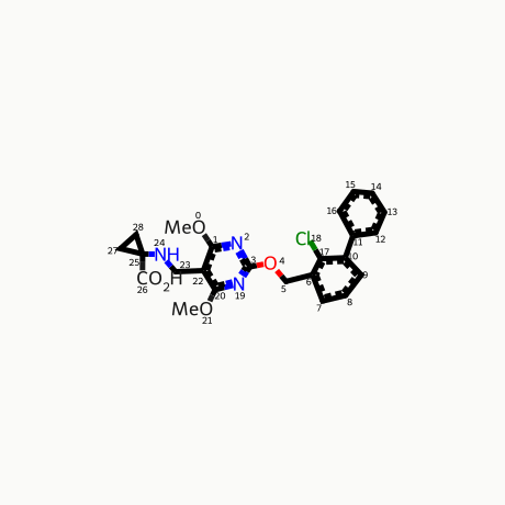 COc1nc(OCc2cccc(-c3ccccc3)c2Cl)nc(OC)c1CNC1(C(=O)O)CC1